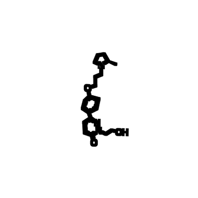 C[C@@H]1CCCN1CCCOc1ccc(-c2ccc(=O)n(CCO)n2)cc1